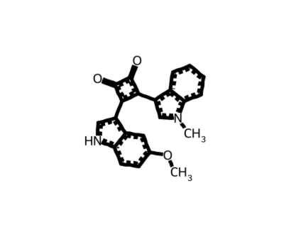 COc1ccc2[nH]cc(-c3c(-c4cn(C)c5ccccc45)c(=O)c3=O)c2c1